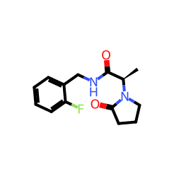 C[C@H](C(=O)NCc1ccccc1F)N1CCCC1=O